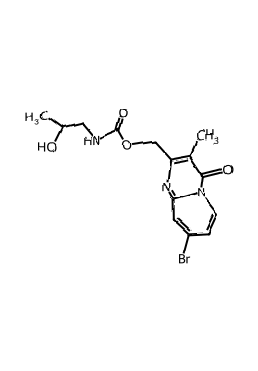 Cc1c(COC(=O)NCC(C)O)nc2cc(Br)ccn2c1=O